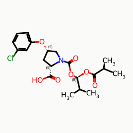 CC(C)C(=O)O[C@H](OC(=O)N1C[C@@H](Oc2cccc(Cl)c2)C[C@H]1C(=O)O)C(C)C